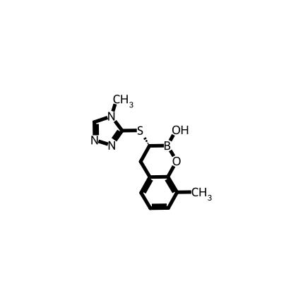 Cc1cccc2c1OB(O)[C@@H](Sc1nncn1C)C2